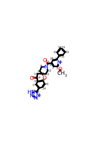 COc1cc(C(=O)N2CCC3(CC2)CC(=O)c2cc(-c4nnn[nH]4)ccc2O3)cc(-c2ccccc2)n1